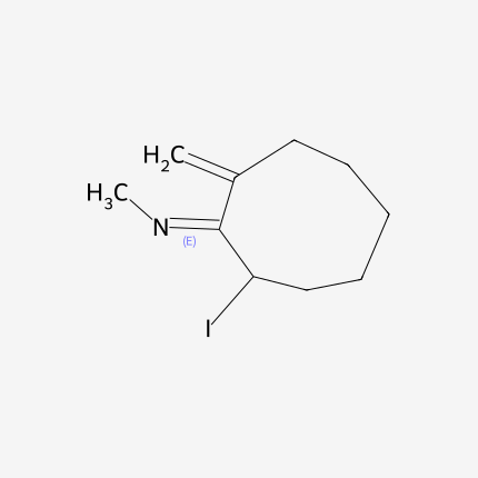 C=C1CCCCCC(I)/C1=N/C